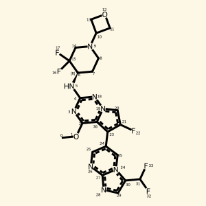 COc1nc(N[C@@H]2CCN(C3COC3)CC2(F)F)nn2cc(F)c(-c3cnc4ncc(C(F)F)n4c3)c12